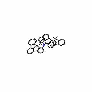 CC1(C)c2ccccc2-c2ccc(N(c3ccccc3)c3cccc4c3C3(c5ccccc5-4)c4ccccc4-c4c3cc3c5c(cccc45)-c4ccccc4-3)cc21